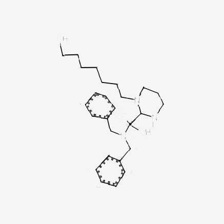 CCCCCCCCN1CCCNC1C(C)(C)N(Cc1ccccc1)Cc1ccccc1